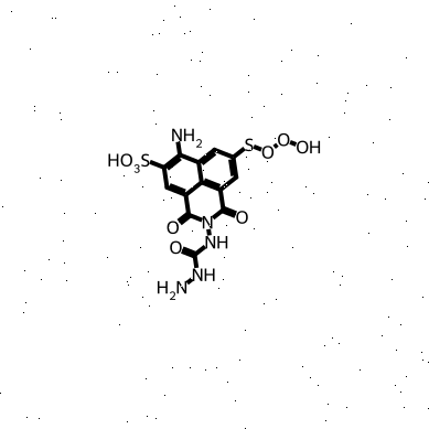 NNC(=O)NN1C(=O)c2cc(SOOO)cc3c(N)c(S(=O)(=O)O)cc(c23)C1=O